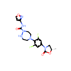 C[C@H]1CN(c2cc(F)c(N3CCNN(C(=O)Nc4ccon4)CC3)c(F)c2)C(=O)O1